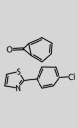 Clc1ccc(-c2nccs2)cc1.O=c1c2ccccc12